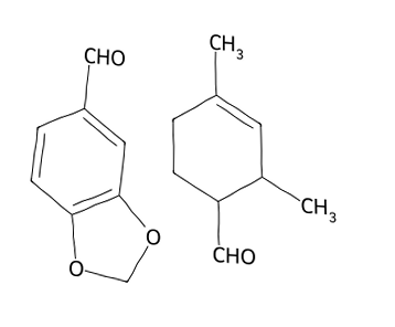 CC1=CC(C)C(C=O)CC1.O=Cc1ccc2c(c1)OCO2